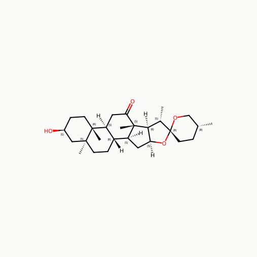 C[C@@H]1CC[C@@]2(OC1)O[C@H]1C[C@H]3[C@@H]4CC[C@@]5(C)C[C@@H](O)CC[C@]5(C)[C@H]4CC(=O)[C@]3(C)[C@H]1[C@@H]2C